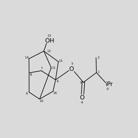 CC(C)C(C)C(=O)OC12CC3CC(CC(O)(C3)C1)C2